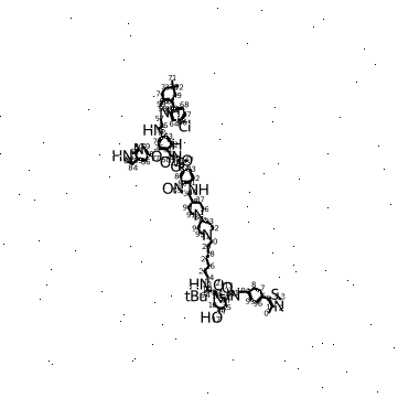 Cc1ncsc1-c1ccc(CNC(=O)[C@@H]2C[C@@H](O)CN2C(=O)[C@@H](NCCCCCCCN2CCC(N3CCC(CNc4ccc(S(=O)(=O)NC(=O)c5ccc(NCCNCC6=C(c7ccc(Cl)cc7)CC(C)(C)CC6)cc5Oc5cnc6[nH]ccc6c5)cc4N=O)CC3)CC2)C(C)(C)C)cc1